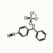 N#[N+]c1ccc(Nc2ccccc2)cc1.O=S(=O)([O-])C(F)(F)F